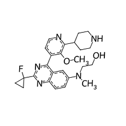 COc1c(-c2nc(C3(F)CC3)nc3ccc(N(C)CCO)cc23)ccnc1C1CCNCC1